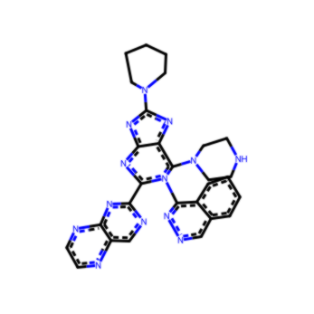 c1ccc2c(-n3c(-c4ncc5nccnc5n4)nc4nc(N5CCCCC5)nc-4c3N3CCNCC3)nncc2c1